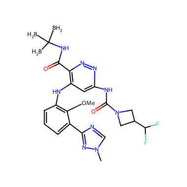 BC(B)(B)NC(=O)c1nnc(NC(=O)N2CC(C(F)F)C2)cc1Nc1cccc(-c2ncn(C)n2)c1OC